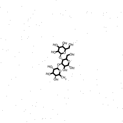 CC1O[C@@H](O[C@@H]2C(O)[C@@H](O)OC(CO)[C@H]2O[C@@H]2OC(CO)[C@H](O)C(O)C2O)[C@@H](O)C(O)[C@@H]1O